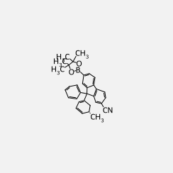 C[C@@H]1C=CC=C(C2(c3ccccc3)c3cc(C#N)ccc3-c3ccc(B4OC(C)(C)C(C)(C)O4)cc32)C1